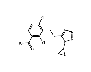 O=C(O)c1ccc(Cl)c(CSc2nnnn2C2CC2)c1Cl